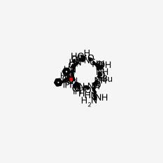 CC[C@H](C)[C@@H]1NC(=O)[C@@H](CCCNC(=N)N)NC(=O)[C@H](CC(C)C)NC(=O)[C@H]([C@H](O)C(C)C)NC(=O)[C@@H](NC(=O)OCc2ccccc2)[C@@H](c2ccccc2)NC(=O)[C@H](CO)NC(=O)C([C@H](C)O)NC(=O)CNC(=O)[C@H]([C@H](C)O)NC1=O